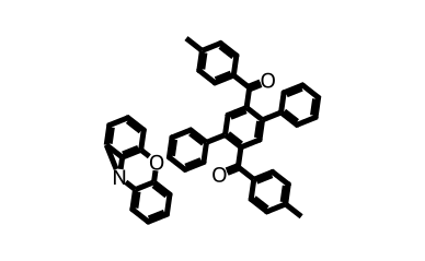 Cc1ccc(C(=O)c2cc(-c3ccccc3)c(C(=O)c3ccc(C)cc3)cc2-c2ccccc2)cc1.c1ccc2c(c1)Oc1cccc3c1N23